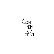 O[C@@H](CC1CCCC1)Cn1cnc2cc(Cl)c(Cl)cc21